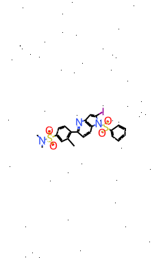 Cc1cc(S(=O)(=O)N(C)C)ccc1-c1ccc2c(cc(I)n2S(=O)(=O)c2ccccc2)n1